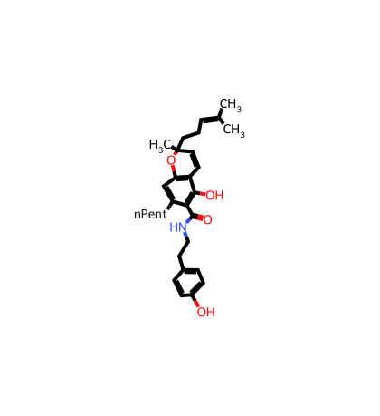 CCCCCc1cc2c(c(O)c1C(=O)NCCc1ccc(O)cc1)C=CC(C)(CCC=C(C)C)O2